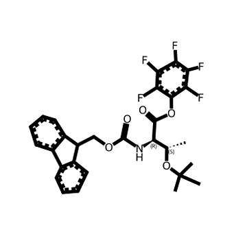 C[C@H](OC(C)(C)C)[C@@H](NC(=O)OCC1c2ccccc2-c2ccccc21)C(=O)Oc1c(F)c(F)c(F)c(F)c1F